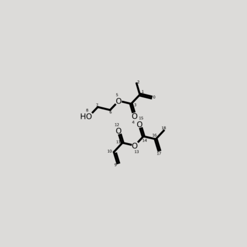 C=C(C)C(=O)OCCO.C=CC(=O)OC(=O)C(=C)C